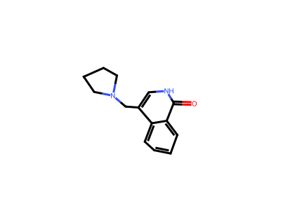 O=c1[nH]cc(CN2CCCC2)c2ccccc12